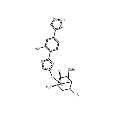 COC1C2CC[C@@](C)(CN2C)[C@@H]1Oc1nnc(-c2ccc(-c3cn[nH]c3)cc2O)s1